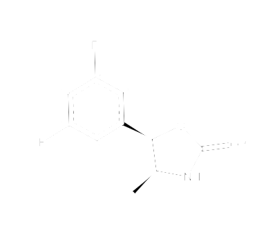 C[C@@H]1NC(=O)O[C@@H]1c1cc(F)cc(F)c1